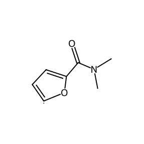 CN(C)C(=O)c1cc[c]o1